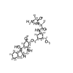 COCc1cc(COc2cc3c(cc2OC)C(O)N2c4ccccc4C[C@H]2CN3)cc(NC(=O)[C@H](C)NC(=O)[C@H](C)N)c1